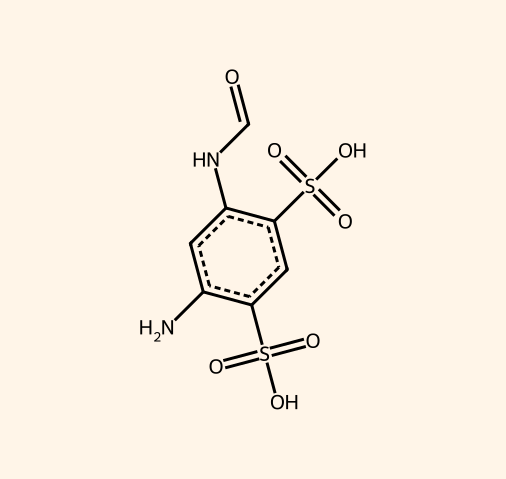 Nc1cc(NC=O)c(S(=O)(=O)O)cc1S(=O)(=O)O